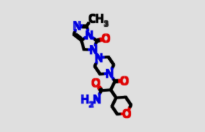 Cc1ncc2n1C(=O)N(N1CCN(C(=O)C(C(N)=O)C3CCOCC3)CC1)C2